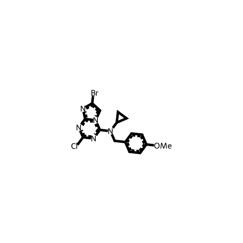 COc1ccc(CN(c2nc(Cl)nc3nc(Br)cn23)C2CC2)cc1